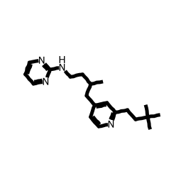 CC(CCNc1ncccn1)Cc1ccnc(CCC(C)(C)C)c1